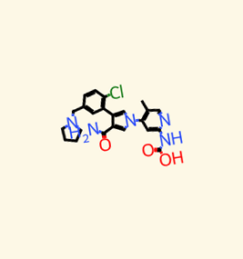 Cc1cnc(NC(=O)O)cc1-n1cc(C(N)=O)c(-c2cc(CN3CCCC3)ccc2Cl)c1